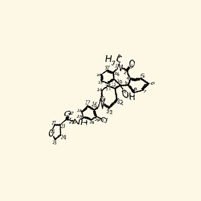 CN1C(=O)c2ccccc2C(O)(C2CCN(c3ccc(NC(=O)C4CCOC4)cc3Cl)CC2)c2ccccc21